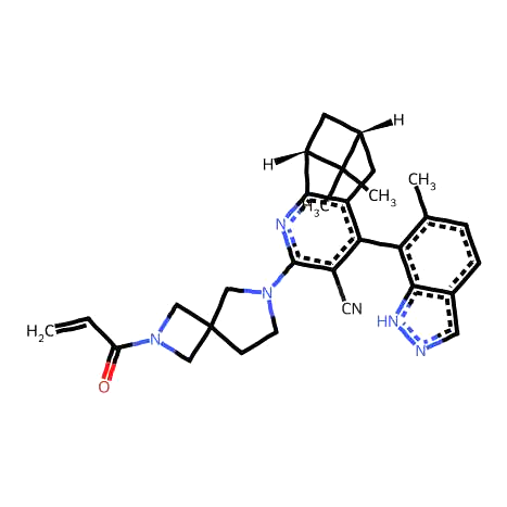 C=CC(=O)N1CC2(CCN(c3nc4c(c(-c5c(C)ccc6cn[nH]c56)c3C#N)C[C@H]3C[C@@H]4C3(C)C)C2)C1